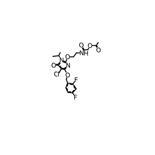 CC(=O)OCC(=O)NCCOc1nc(OCc2ccc(F)cc2F)c(Cl)c(=O)n1C(C)C